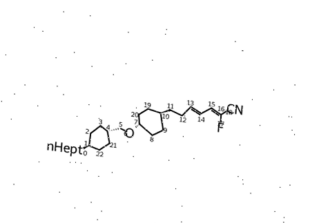 CCCCCCC[C@H]1CC[C@H](CO[C@H]2CC[C@H](CCC=CC=C(F)C#N)CC2)CC1